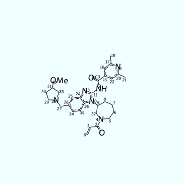 C=CC(=O)N1CCCCC(n2c(NC(=O)c3cc(C)nc(C)c3)nc3cc(CN4CCC(OC)C4)ccc32)C1